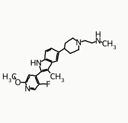 CNCCN1CCC(c2ccc3[nH]c(-c4cc(OC)ncc4F)c(C)c3c2)CC1